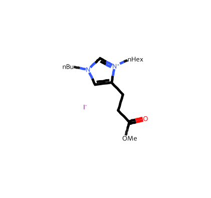 CCCCCC[n+]1cn(CCCC)cc1CCC(=O)OC.[I-]